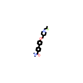 CC(F)CN1CCC(COc2ccc(-c3ccc(C(=O)N(C)C)cc3)cc2)CC1